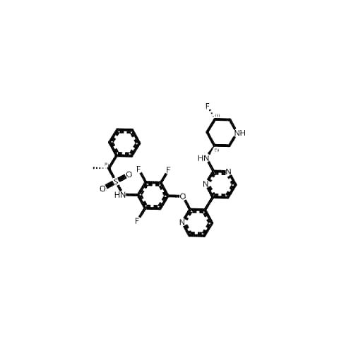 C[C@H](c1ccccc1)S(=O)(=O)Nc1c(F)cc(Oc2ncccc2-c2ccnc(N[C@@H]3CNC[C@@H](F)C3)n2)c(F)c1F